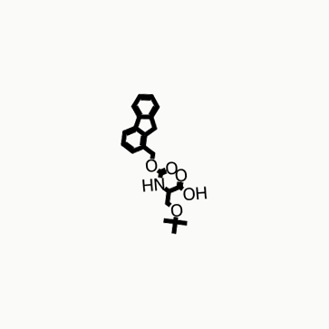 CC(C)(C)OCC(NC(=O)OCc1cccc2c1Cc1ccccc1-2)C(=O)O